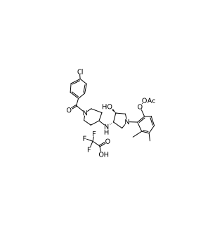 CC(=O)OOc1ccc(C)c(C)c1N1C[C@H](NC2CCN(C(=O)c3ccc(Cl)cc3)CC2)[C@@H](O)C1.O=C(O)C(F)(F)F